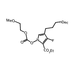 CCCCCCCCCCCCCc1cn(OC(=O)OCCOC)c(C(=O)OCC)c1F